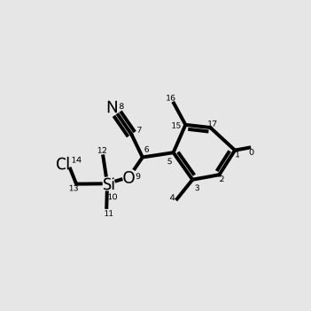 Cc1cc(C)c(C(C#N)O[Si](C)(C)CCl)c(C)c1